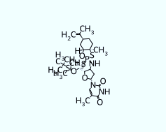 C=C(C)[C@H]1CC[C@@]2(C)SP(=S)(NC3C[C@H](n4cc(C)c(=O)[nH]c4=O)O[C@@H]3CO[Si](C)(C)C(C)(C)C)O[C@@H]2C1